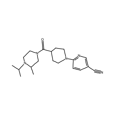 CC(C)N1CCN(C(=O)C2CCN(c3ccc(C#N)cn3)CC2)CC1C